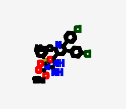 COc1nc(-c2ccc(Cl)cc2)c(-c2ccc(Cl)cc2)cc1CNC(=N)N(C(=O)OC(C)(C)C)S(=O)(=O)c1ccccc1